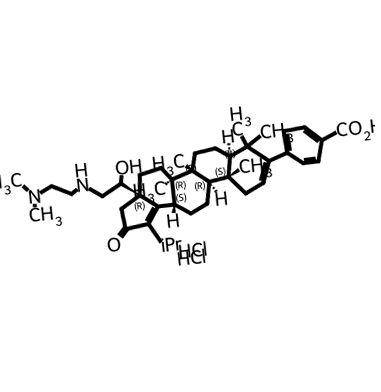 CC(C)C1=C2[C@H]3CC[C@@H]4[C@@]5(C)CC=C(c6ccc(C(=O)O)cc6)C(C)(C)[C@@H]5CC[C@@]4(C)[C@]3(C)CC[C@@]2(C(O)CNCCN(C)C)CC1=O.Cl.Cl